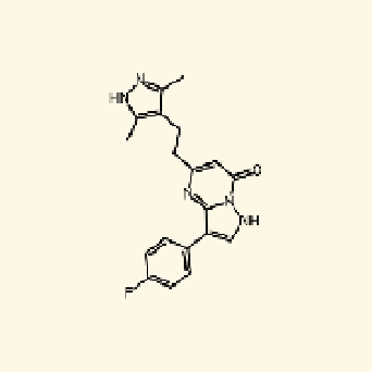 Cc1n[nH]c(C)c1CCc1cc(=O)n2[nH]cc(-c3ccc(F)cc3)c2n1